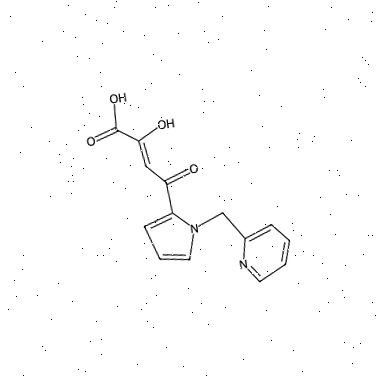 O=C(O)/C(O)=C/C(=O)c1cccn1Cc1ccccn1